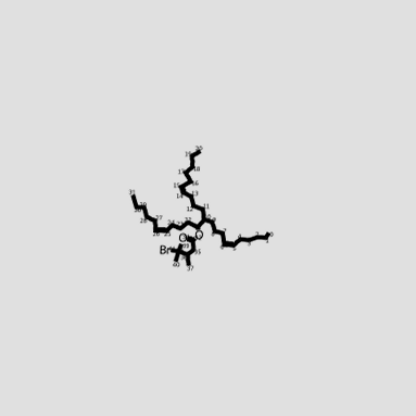 CCCCC/C=C\CCCC(CCC/C=C\CCCCC)C(CCC/C=C\CCCCC)OC(=O)CC(C)C(C)(C)Br